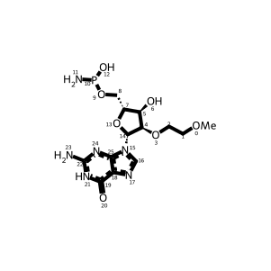 COCCO[C@@H]1[C@H](O)[C@@H](COP(N)O)O[C@H]1n1cnc2c(=O)[nH]c(N)nc21